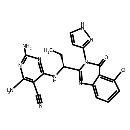 CC[C@H](Nc1nc(N)nc(N)c1C#N)c1nc2cccc(Cl)c2c(=O)n1-c1cc[nH]n1